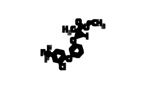 CCOC(=O)[C@@]1(C)[C@H](OC2=CC(Oc3ccc(C(F)(F)F)cc3Cl)=CCC2)[C@@H]1I